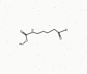 CCC(=O)CCCCNC(=O)OC(C)(C)C